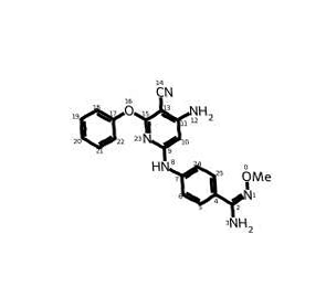 CO/N=C(/N)c1ccc(Nc2cc(N)c(C#N)c(Oc3ccccc3)n2)cc1